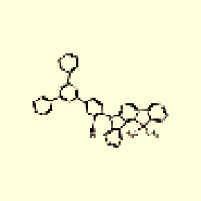 CC1(C)c2ccccc2-c2ccc3c(c21)c1ccccc1n3-c1ccc(-c2nc(-c3ccccc3)nc(-c3ccccc3)n2)cc1C#N